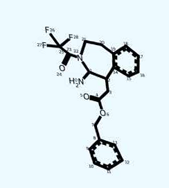 NC1C(CC(=O)OCc2ccccc2)c2ccccc2CCN1C(=O)C(F)(F)F